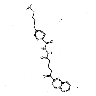 CN(C)CCCOc1ccc(C(=O)NNC(=O)CCCC(=O)c2ccc3ccccc3c2)cc1